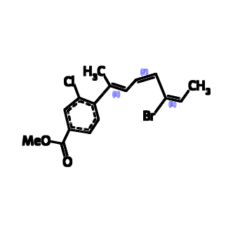 C\C=C(Br)/C=C\C=C(/C)c1ccc(C(=O)OC)cc1Cl